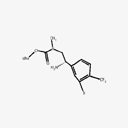 CN(C[C@@H](N)c1ccc(C(F)(F)F)c(F)c1)C(=O)OC(C)(C)C